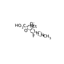 CC[N+]1([O-])C=C(C(=O)O)C(=O)c2cc(F)c(N3CCN(C)CC3)cc21